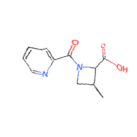 CC1CN(C(=O)c2ccccn2)C1C(=O)O